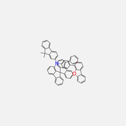 CC1(C)c2ccccc2-c2ccc(N(c3ccc(-c4cccc5c4oc4ccccc45)cc3)c3cccc4c3C3(c5ccccc5-4)c4ccccc4-c4c(-c5ccccc5)cccc43)cc21